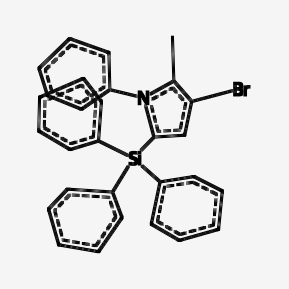 Cc1c(Br)cc([Si](c2ccccc2)(c2ccccc2)c2ccccc2)n1-c1ccccc1